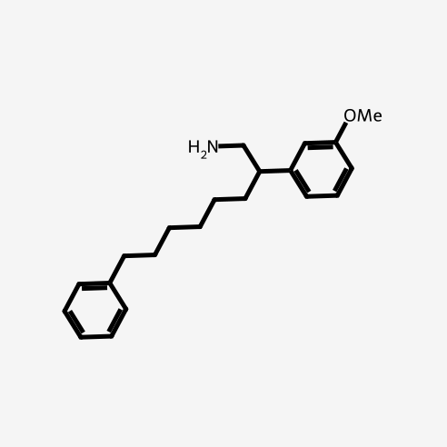 COc1cccc(C(CN)CCCCCCc2ccccc2)c1